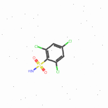 [NH]S(=O)(=O)c1c(Cl)cc(Cl)cc1Cl